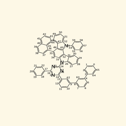 c1ccc(-c2cccc(-c3cccc(-c4nc(-c5ccccc5)nc(-n5c6ccccc6c6c5cc(-c5cccc7ccccc57)c5c7ccccc7n(-c7ccccc7)c56)n4)c3)c2)cc1